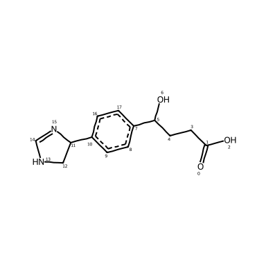 O=C(O)CCC(O)c1ccc(C2CNC=N2)cc1